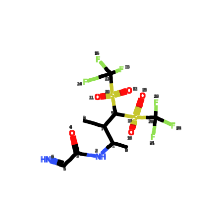 CC(NC(=O)C=N)C(C)C(S(=O)(=O)C(F)(F)F)S(=O)(=O)C(F)(F)F